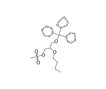 CCCCOC(COC(c1ccccc1)(c1ccccc1)c1ccccc1)COS(C)(=O)=O